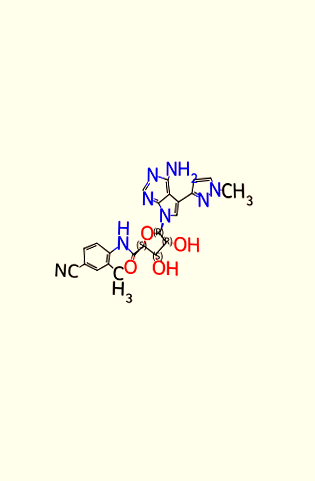 Cc1cc(C#N)ccc1NC(=O)[C@H]1O[C@@H](n2cc(-c3ccn(C)n3)c3c(N)ncnc32)[C@H](O)[C@@H]1O